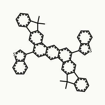 CC1(C)c2ccccc2-c2cc3c(-c4csc5ccccc45)cc4cc5c(cc(-c6csc7ccccc67)c6cc7c(cc65)C(C)(C)c5ccccc5-7)cc4c3cc21